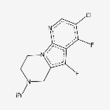 CC(C)N1CCn2c(c(F)c3c(F)c(Cl)cnc32)C1